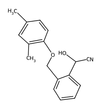 Cc1ccc(OCc2ccccc2C(O)C#N)c(C)c1